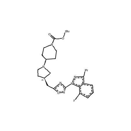 CC(C)c1nn(-c2noc(C[C@H]3CCN(C4CCN(C(=O)OC(C)(C)C)CC4)C3)n2)c2c(F)cccc12